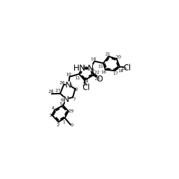 Cc1cccc(N2CCN(Cc3[nH]n(Cc4ccc(Cl)cc4)c(=O)c3Cl)CC2C)c1